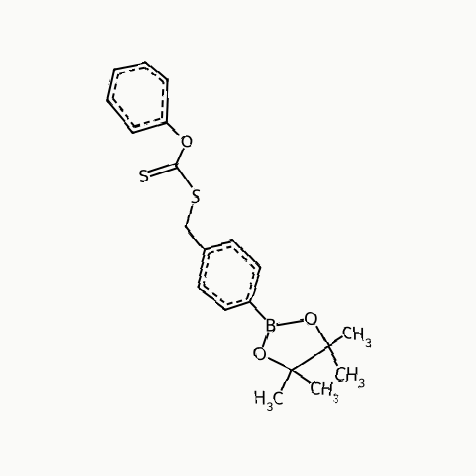 CC1(C)OB(c2ccc(CSC(=S)Oc3ccccc3)cc2)OC1(C)C